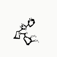 Cc1cccc(C(=O)N2CCCC2c2nnc(-c3cccnc3)o2)c1C